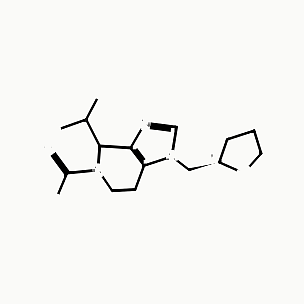 CC(C)C1c2ncn(C[C@H]3CCCO3)c2CCN1C(=O)O